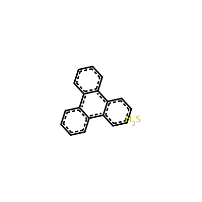 S.c1ccc2c(c1)c1ccccc1c1ccccc21